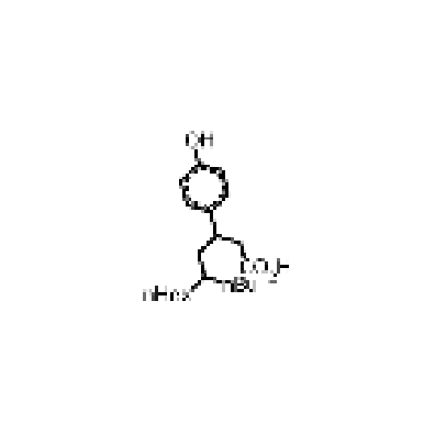 CCCCCCC(CCCC)CC(CC(=O)O)c1ccc(O)cc1